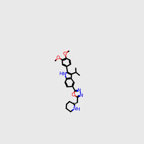 COc1ccc(-c2[nH]c3ccc(-c4nnc(C[C@@H]5CCCCN5)o4)cc3c2C(C)C)cc1OC